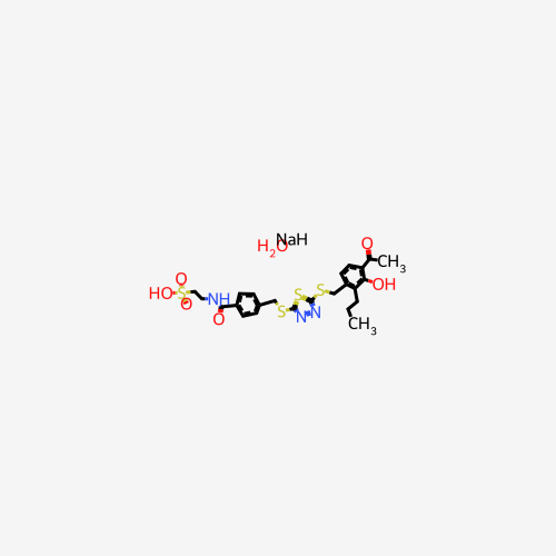 CCCc1c(CSc2nnc(SCc3ccc(C(=O)NCCS(=O)(=O)O)cc3)s2)ccc(C(C)=O)c1O.O.[NaH]